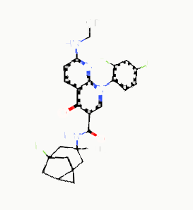 CC1(NC(=O)c2cn(-c3ccc(F)cc3F)c3nc(NCC(F)(F)F)ccc3c2=O)CC2(F)CC3CC3(C2)C1